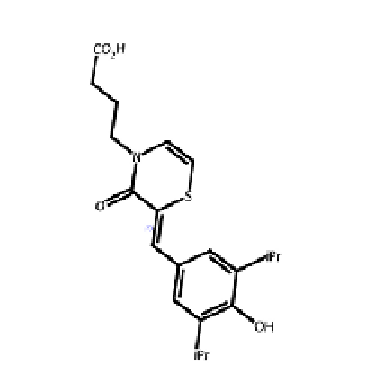 CC(C)c1cc(/C=C2\SC=CN(CCCC(=O)O)C2=O)cc(C(C)C)c1O